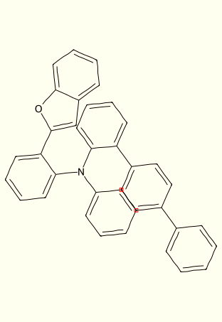 c1ccc(-c2ccc(-c3ccccc3N(c3ccccc3)c3ccccc3-c3cc4ccccc4o3)cc2)cc1